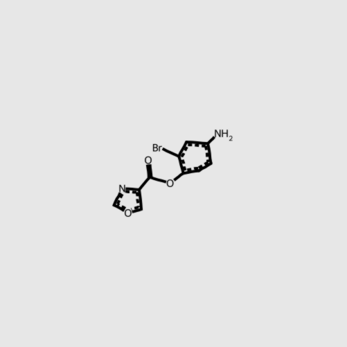 Nc1ccc(OC(=O)c2cocn2)c(Br)c1